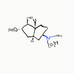 CO[C@H]1C[C@H]2CC(N(C(=O)O)C(C)(C)C)CC[C@H]2[C@@H]1C=O